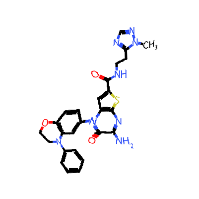 Cn1ncnc1CCNC(=O)c1cc2c(nc(N)c(=O)n2-c2ccc3c(c2)N(c2ccccc2)CCO3)s1